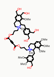 COc1cc(CC2c3c(cc(OC)c(OC)c3OC)CC[N+]2(C)CCCOC(=O)C#CC(=O)OCCC[N+]2(C)CCc3cc(CO)c(CO)c(OC)c3C2Cc2ccc(CO)c(CO)c2)cc(CO)c1OC